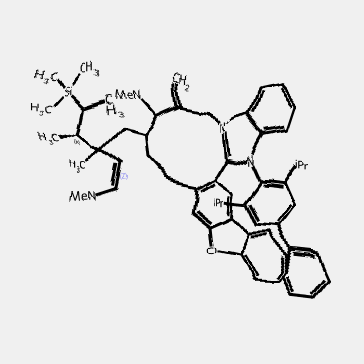 C=C1C[n+]2c(n(-c3c(C(C)C)cc(-c4ccccc4)cc3C(C)C)c3ccccc32)-c2cc3c(cc2CCC(CC(C)(/C=C\NC)[C@@H](C)C(C)[Si](C)(C)C)C1NC)oc1ccccc13